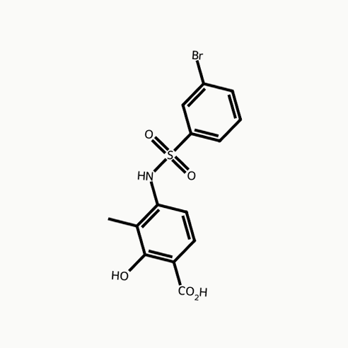 Cc1c(NS(=O)(=O)c2cccc(Br)c2)ccc(C(=O)O)c1O